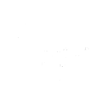 CC(C)(C)OC(=O)N1CCCC1(O)C(=O)OCc1ccccc1